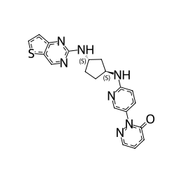 O=c1cccnn1-c1ccc(N[C@H]2CC[C@H](Nc3ncc4sccc4n3)C2)nc1